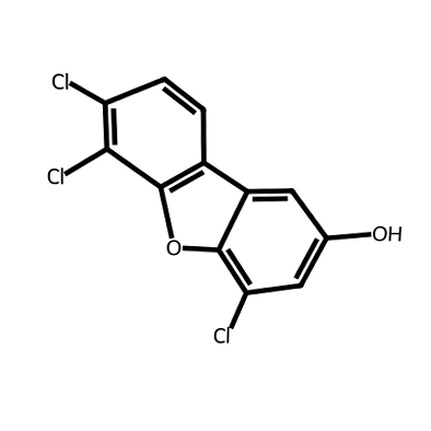 Oc1cc(Cl)c2oc3c(Cl)c(Cl)ccc3c2c1